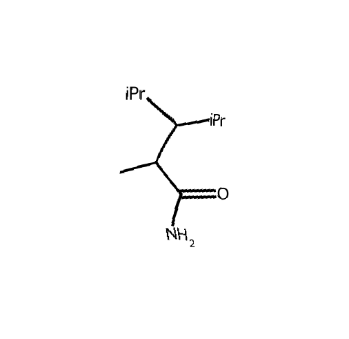 CC(C)C(C(C)C)C(C)C(N)=O